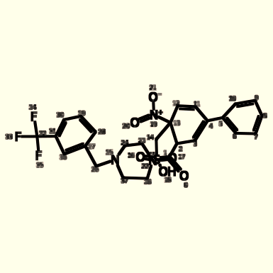 O=C(C1C=C(c2ccccc2)C=CC1(CS(=O)(=O)O)[N+](=O)[O-])N1CCN(Cc2cccc(C(F)(F)F)c2)CC1